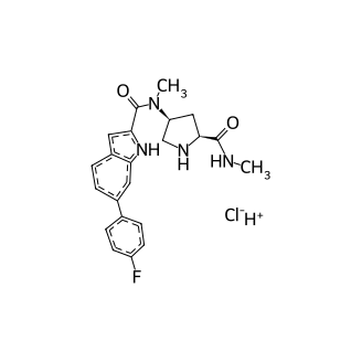 CNC(=O)[C@@H]1C[C@H](N(C)C(=O)c2cc3ccc(-c4ccc(F)cc4)cc3[nH]2)CN1.[Cl-].[H+]